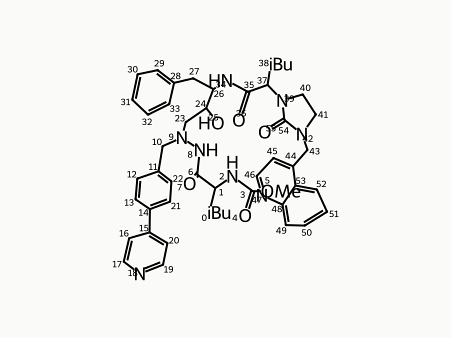 CCC(C)C(NC(=O)OC)C(=O)NN(Cc1ccc(-c2ccncc2)cc1)CC(O)C(Cc1ccccc1)NC(=O)C(C(C)CC)N1CCN(Cc2ccnc3ccccc23)C1=O